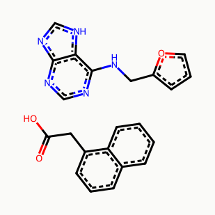 O=C(O)Cc1cccc2ccccc12.c1coc(CNc2ncnc3nc[nH]c23)c1